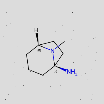 CN1[C@@H]2CCC[C@@]1(N)CC2